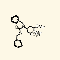 COC(C[C@@H](CC(=O)O)N(Cc1ccccc1)C(=O)OCc1ccccc1)OC